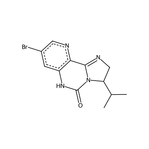 CC(C)C1CN=C2c3ncc(Br)cc3NC(=O)N21